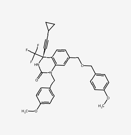 COc1ccc(COCc2ccc3c(c2)N(Cc2ccc(OC)cc2)C(=O)N[C@]3(C#CC2CC2)C(F)(F)F)cc1